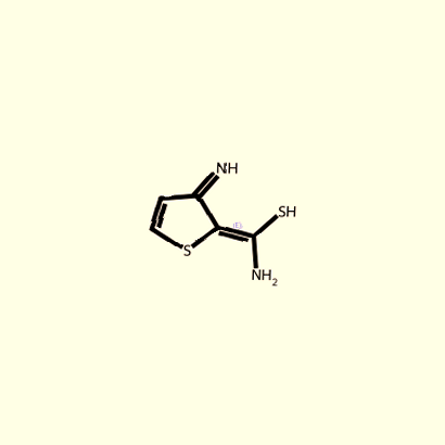 N=C1C=CS/C1=C(\N)S